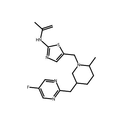 C=C(C)Nc1ncc(CN2CC(Cc3ncc(F)cn3)CCC2C)s1